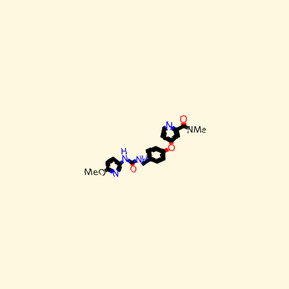 CNC(=O)c1cc(Oc2ccc(CNC(=O)Nc3ccc(OC)nc3)cc2)ccn1